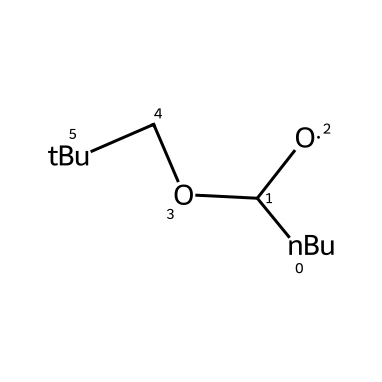 CCCCC([O])OCC(C)(C)C